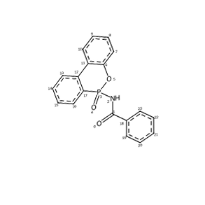 O=C(NP1(=O)Oc2ccccc2-c2ccccc21)c1ccccc1